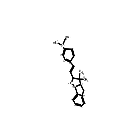 CCCCN(CCCC)c1ccc(C=CC2ON3c4ccccc4CC3C2(C)C)cc1